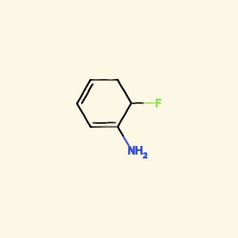 NC1=CC=CCC1F